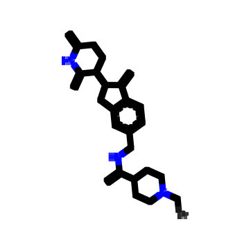 C=C1CCC(C2Cc3cc(CNC(=C)C4CCN(CC(C)C)CC4)ccc3C2=C)C(=C)N1